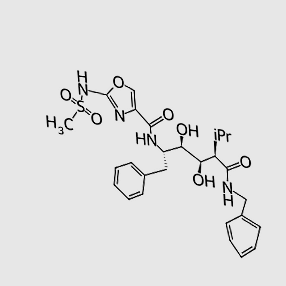 CC(C)[C@@H](C(=O)NCc1ccccc1)[C@@H](O)[C@H](O)[C@H](Cc1ccccc1)NC(=O)c1coc(NS(C)(=O)=O)n1